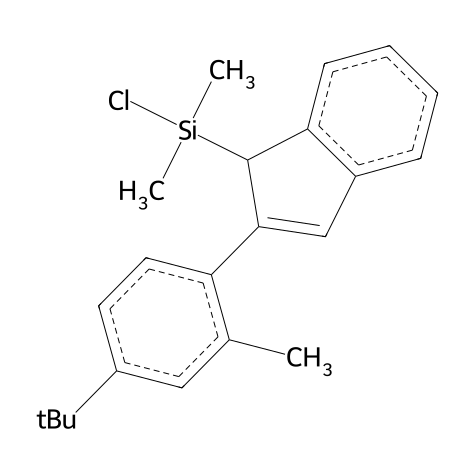 Cc1cc(C(C)(C)C)ccc1C1=Cc2ccccc2C1[Si](C)(C)Cl